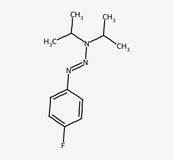 CC(C)N(N=Nc1ccc(F)cc1)C(C)C